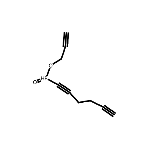 C#CCCC#C[PH](=O)OCC#C